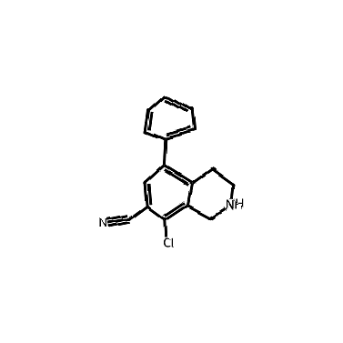 N#Cc1cc(-c2ccccc2)c2c(c1Cl)CNCC2